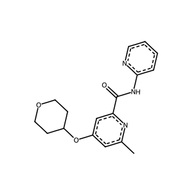 Cc1cc(OC2CCOCC2)cc(C(=O)Nc2ccccn2)n1